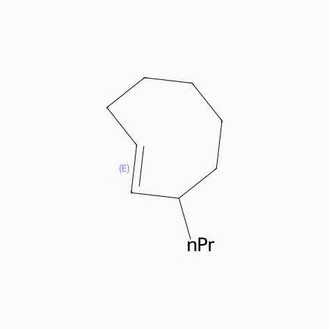 CCCC1/C=C/CCCCC1